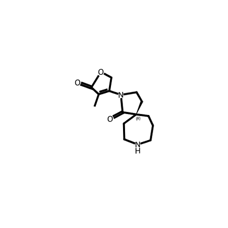 CC1=C(N2CC[C@]3(CCCNCC3)C2=O)COC1=O